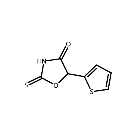 O=C1NC(=S)OC1c1cccs1